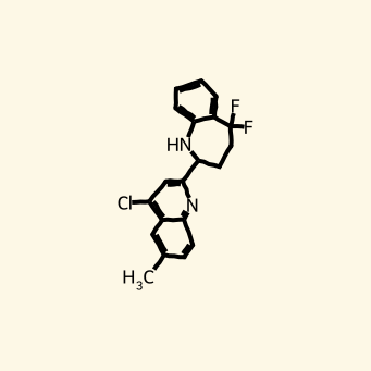 Cc1ccc2nc(C3CCC(F)(F)c4ccccc4N3)cc(Cl)c2c1